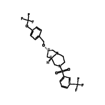 O=S(=O)(c1cccc(C(F)(F)F)c1)N1CCN2C[C@@H](OCc3ccc(OC(F)(F)F)cc3)C[C@H]2C1